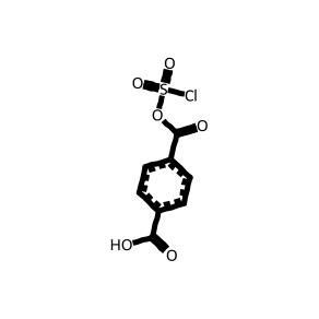 O=C(O)c1ccc(C(=O)OS(=O)(=O)Cl)cc1